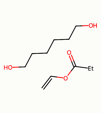 C=COC(=O)CC.OCCCCCCO